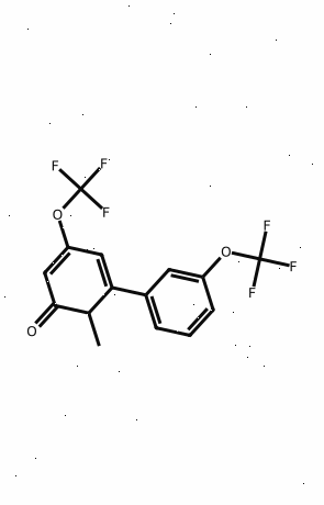 CC1C(=O)C=C(OC(F)(F)F)C=C1c1cccc(OC(F)(F)F)c1